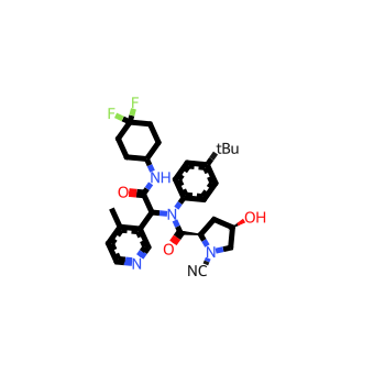 Cc1ccncc1C(C(=O)NC1CCC(F)(F)CC1)N(C(=O)[C@H]1C[C@@H](O)CN1C#N)c1ccc(C(C)(C)C)cc1